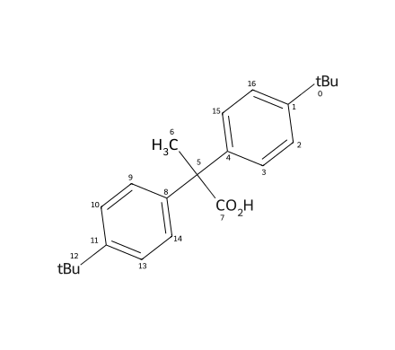 CC(C)(C)c1ccc(C(C)(C(=O)O)c2ccc(C(C)(C)C)cc2)cc1